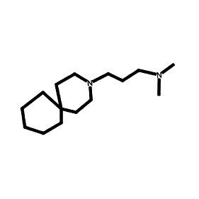 CN(C)CCCN1CCC2(CCCCC2)CC1